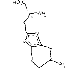 CC1CCc2oc(C[C@@H](N)C(=O)O)nc2C1